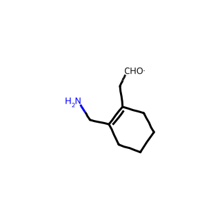 NCC1=C(C[C]=O)CCCC1